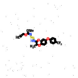 C#CCOC(=NSSNC(=O)C(C)Oc1ccc(Oc2ccc(C(F)(F)F)cc2)cc1)OC